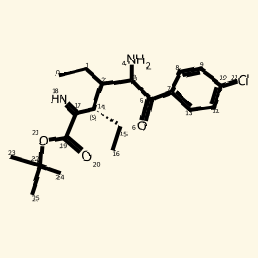 [CH2]CC(C(N)C(=O)c1ccc(Cl)cc1)[C@H](CC)C(=N)C(=O)OC(C)(C)C